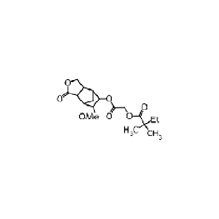 CCC(C)(C)C(=O)OCC(=O)OC1C2CC(C1OC)C1C(=O)OCC21